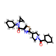 O=C(C1CCCCC1)N1CCC(c2nc(C(=O)N(C3CCCCC3)C3CC3)cs2)CC1